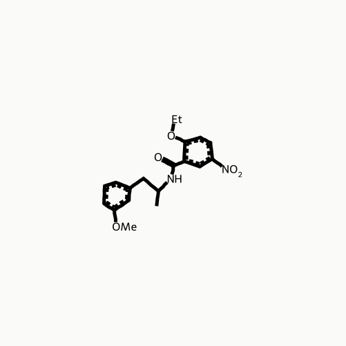 CCOc1ccc([N+](=O)[O-])cc1C(=O)NC(C)Cc1cccc(OC)c1